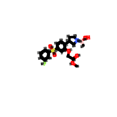 COC(=O)COc1cc(S(=O)(=O)c2cccc(F)c2)ccc1C1CCN(B(C)O)C1